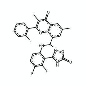 Cc1cc(C(C)Nc2ccc(F)c(F)c2-c2noc(=O)[nH]2)c2oc(-c3ccccc3F)c(C)c(=O)c2c1